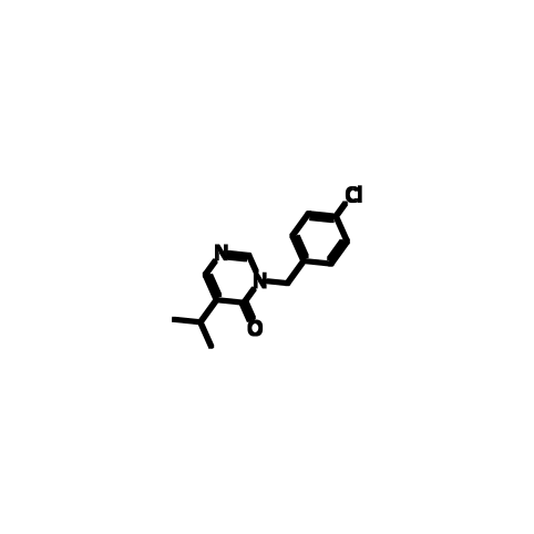 CC(C)c1cncn(Cc2ccc(Cl)cc2)c1=O